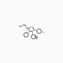 C=C/C=C\C=C1/CC=C(c2ccc(C)cc2)C(c2cccnc2)=C1c1ccccc1